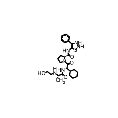 C[C@@H](NCCO)C(=O)N[C@H](C(=O)N1CCC[C@H]1C(=O)NC1=C(c2ccccc2)NNS1)C1CCCCC1